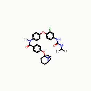 CCC(CC)NC(=O)Nc1ccc(Oc2ccc(N(CC)C(=O)c3ccc(OC45CCCC(CC4)N5C)cc3)cc2)c(Cl)c1